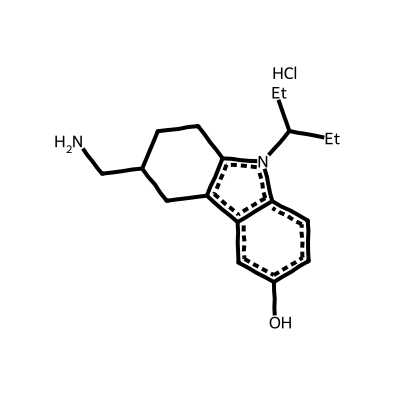 CCC(CC)n1c2c(c3cc(O)ccc31)CC(CN)CC2.Cl